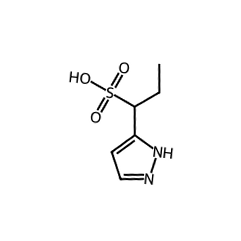 CCC(c1ccn[nH]1)S(=O)(=O)O